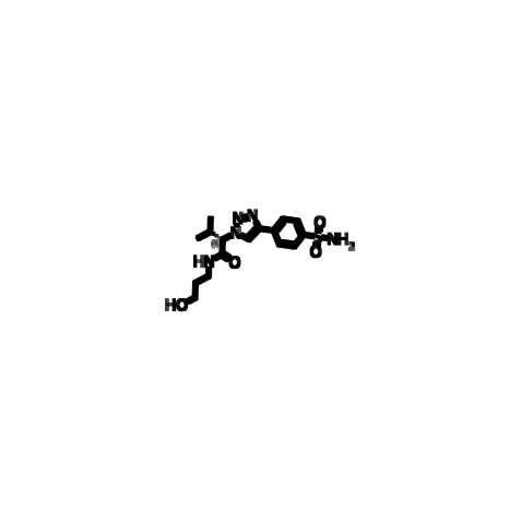 CC(C)[C@@H](C(=O)NCCCO)n1cc(-c2ccc(S(N)(=O)=O)cc2)nn1